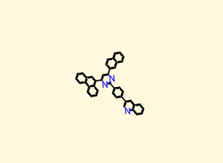 c1ccc2cc(-c3cc(-c4cc5ccccc5c5ccccc45)nc(-c4ccc(-c5cnc6ccccc6c5)cc4)n3)ccc2c1